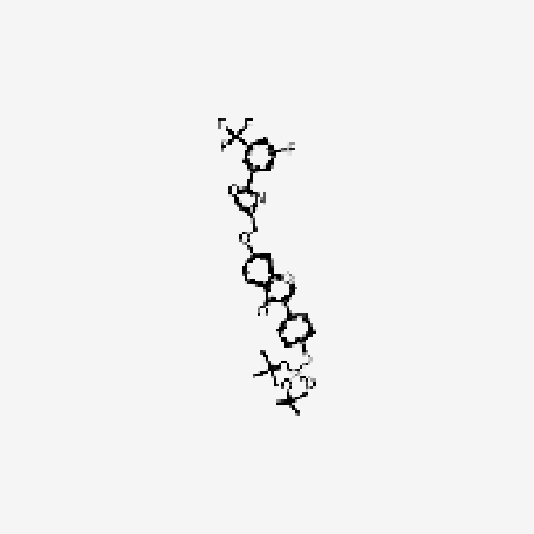 CC(C)(C)OP(=O)(Oc1ccc(-c2coc3cc(OCc4coc(-c5cc(F)cc(C(F)(F)F)c5)n4)ccc3c2=O)cc1)OC(C)(C)C